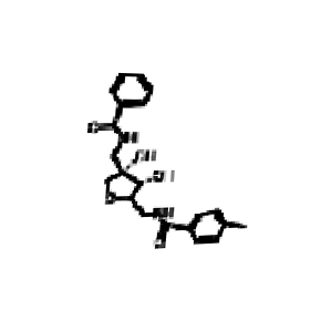 Cc1ccc(C(=O)NC[C@H]2OC[C@@](O)(CNC(=O)c3ccccc3)[C@@H]2O)cc1